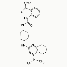 COC(=O)c1ccccc1NC(=O)NC1CCC(Nc2nc3c(c(N(C)C)n2)CCCC3)CC1